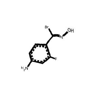 Nc1ccc(C(Br)=NO)c(F)c1